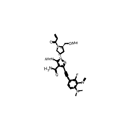 C=CC(=O)N1C[C@@H](n2nc(C#Cc3ccc(N(C)C)c(N=C)c3F)c(C(N)=O)c2NC)C[C@@H]1COC